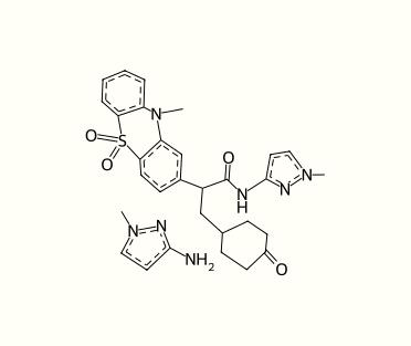 CN1c2ccccc2S(=O)(=O)c2ccc(C(CC3CCC(=O)CC3)C(=O)Nc3ccn(C)n3)cc21.Cn1ccc(N)n1